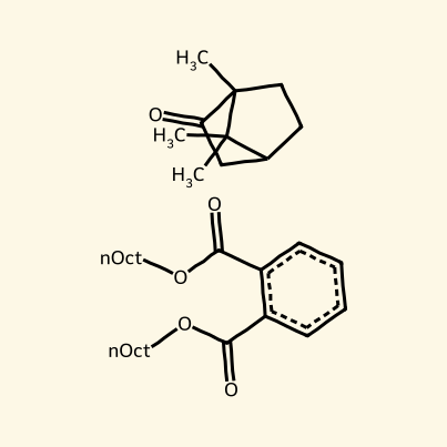 CC12CCC(CC1=O)C2(C)C.CCCCCCCCOC(=O)c1ccccc1C(=O)OCCCCCCCC